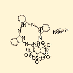 O=S(=O)([O-])c1c(S(=O)(=O)[O-])c(S(=O)(=O)[O-])c2c3nc4nc(nc5[n-]c(nc6nc(nc([nH]3)c2c1S(=O)(=O)[O-])-c1ccccc1-6)c1ccccc51)-c1ccccc1-4.[Cu+2].[Cu+2].[Na+]